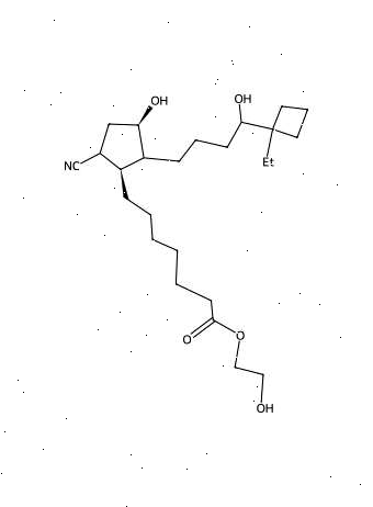 CCC1(C(O)CCCC2[C@@H](CCCCCCC(=O)OCCO)C(C#N)C[C@H]2O)CCC1